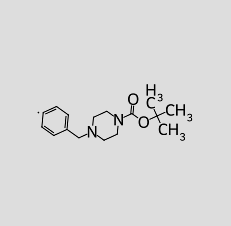 CC(C)(C)OC(=O)N1CCN(Cc2cc[c]cc2)CC1